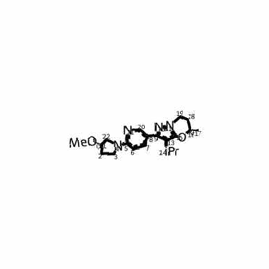 CO[C@H]1CCN(c2ccc(-c3nn4c(c3C(C)C)O[C@H](C)CC4)cn2)C1